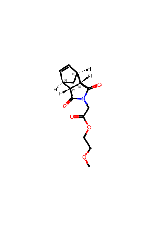 COCCOC(=O)CN1C(=O)[C@@H]2[C@H](C1=O)[C@H]1C=C[C@@H]2C1